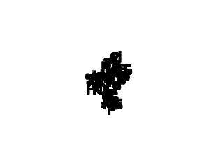 OC(CN[C@@](Cc1ccccn1)(c1cc(F)cc(C(F)(F)F)c1)c1ccc(Cl)cn1)COC(F)(F)C(F)F